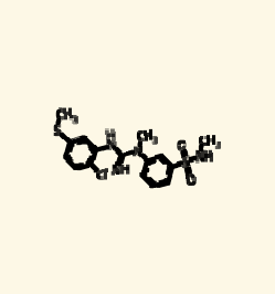 CNS(=O)(=O)c1cccc(N(C)C(=N)Nc2cc(SC)ccc2Cl)c1